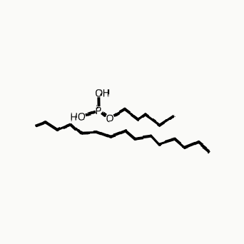 CCCCCCCCCCCCCCC.CCCCCOP(O)O